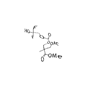 COC(=O)C(C)(COC(C)=O)COC(=O)OCC(O)(F)F